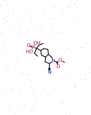 CCC(CC)(C1CCC2CN(C(=O)OC)C(C#N)CC2C1)P(=O)(O)O